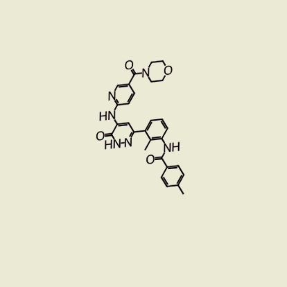 Cc1ccc(C(=O)Nc2cccc(-c3cc(Nc4ccc(C(=O)N5CCOCC5)cn4)c(=O)[nH]n3)c2C)cc1